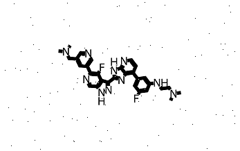 CN(C)CCNc1cc(F)cc(-c2ccnc3[nH]c(-c4n[nH]c5cnc(-c6cncc(CN(C)C)c6)c(F)c45)nc23)c1